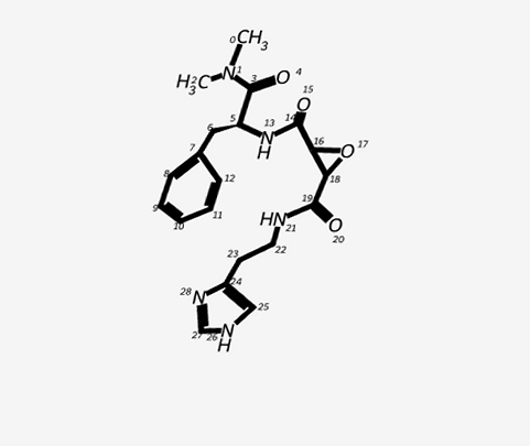 CN(C)C(=O)[C@H](Cc1ccccc1)NC(=O)C1OC1C(=O)NCCc1c[nH]cn1